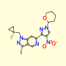 O=[N+]([O-])c1cn(C2CCCCO2)nc1-c1cc2c(cn1)c(I)nn2CC1(F)CC1